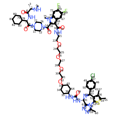 CN[C@@H](C)C(=O)N[C@H](C(=O)N1CCN(C(=O)c2c(C(=O)NCCOCCOCCOCCOC3CCC(NC(=O)N[C@@H]4N=C(c5ccc(Cl)cc5)c5c(sc(C)c5C)-n5c(C)nnc54)CC3)c3cc(F)c(F)cc3n2C)CC1)C1CCCCC1